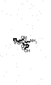 Cn1cccc1C(=O)CC(N[C@@H](CCCCN)C(=O)N1CCC[C@H]1C(=O)O)C(=O)O